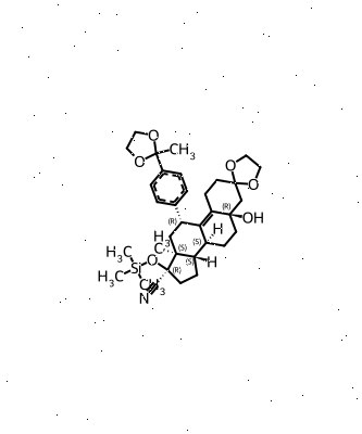 CC1(c2ccc([C@H]3C[C@@]4(C)[C@@H](CC[C@@]4(C#N)O[Si](C)(C)C)[C@@H]4CC[C@@]5(O)CC6(CCC5=C43)OCCO6)cc2)OCCO1